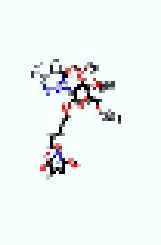 CCCCOCC1O[C@@H](OCCCCC(=O)ON2C(=O)CCC2=O)[C@@H](NC(=O)C(F)(F)F)C(OCCCC)[C@H]1OCCCC